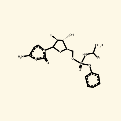 CC(C)C(NP(=O)(OC[C@H]1SC(n2ccc(N)nc2=O)[C@@H](F)[C@@H]1O)Oc1ccccc1)C(=O)O